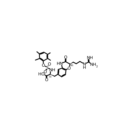 Cc1cc(C)c(C)c(OS(=O)(=O)N[C@@H](Cc2ccc3c(c2)NC(=O)[C@@H](CCCNC(=N)N)O3)C(=O)O)c1C